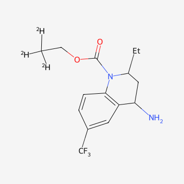 [2H]C([2H])([2H])COC(=O)N1c2ccc(C(F)(F)F)cc2C(N)CC1CC